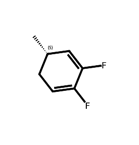 C[C@@H]1C=C(F)C(F)=CC1